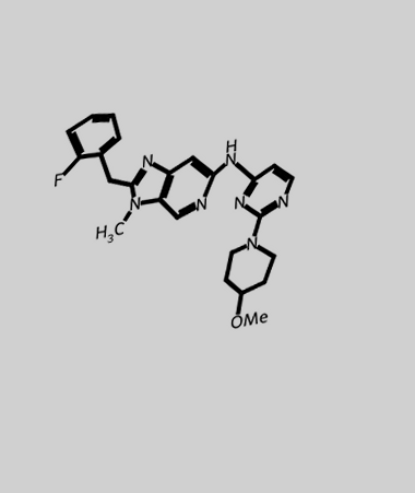 COC1CCN(c2nccc(Nc3cc4nc(Cc5ccccc5F)n(C)c4cn3)n2)CC1